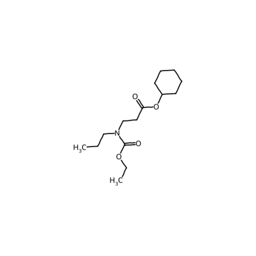 CCCN(CCC(=O)OC1CCCCC1)C(=O)OCC